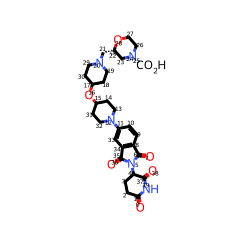 O=C1CCC(N2C(=O)c3ccc(N4CCC(OC5CCN(C[C@H]6CN(C(=O)O)CCO6)CC5)CC4)cc3C2=O)C(=O)N1